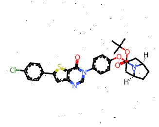 CC(C)(C)OC(=O)N1[C@@H]2CC[C@H]1C[C@@H](Oc1ccc(-n3cnc4cc(-c5ccc(Cl)cc5)sc4c3=O)cc1)C2